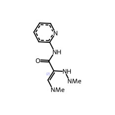 CN/C=C(\NNC)C(=O)Nc1ccccn1